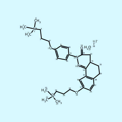 C[N+](C)(C)CCCOc1ccc(N2N=C3c4cc(OCCC[N+](C)(C)C)ccc4CCC3CC2=O)cc1.O.[I-].[I-]